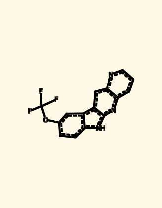 FC(F)(F)Oc1ccc2[nH]c3nc4cccnc4cc3c2c1